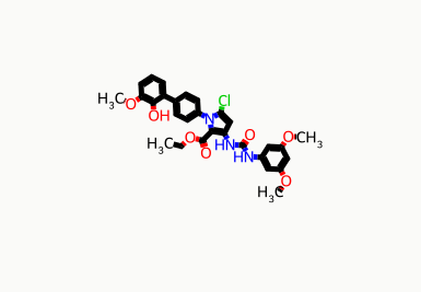 CCOC(=O)c1c(NC(=O)Nc2cc(OC)cc(OC)c2)cc(Cl)n1-c1ccc(-c2cccc(OC)c2O)cc1